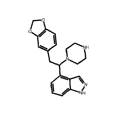 c1cc(C(Cc2ccc3c(c2)OCO3)N2CCNCC2)c2cn[nH]c2c1